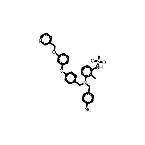 [C-]#[N+]c1ccc(CN(Cc2ccc(Oc3cccc(OCc4cccnc4)c3)cc2)c2cccc(NS(C)(=O)=O)c2C)cc1